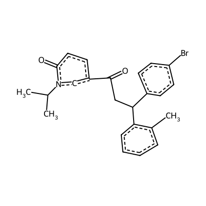 Cc1ccccc1C(CC(=O)c1ccc(=O)n(C(C)C)c1)c1ccc(Br)cc1